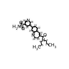 CCCN(CCC)C(=O)C1=Cc2ccc(-c3cncc(S(N)(=O)=O)c3)cc2N=CC1